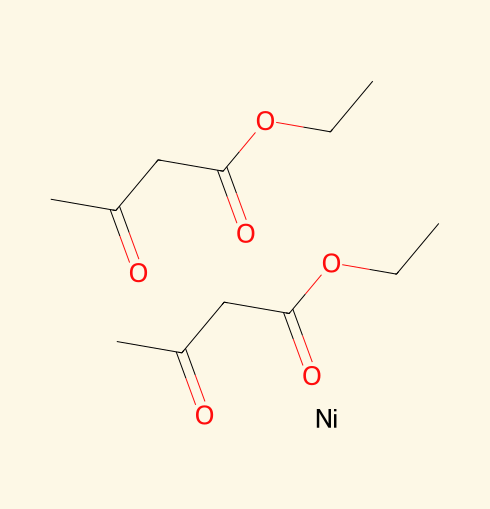 CCOC(=O)CC(C)=O.CCOC(=O)CC(C)=O.[Ni]